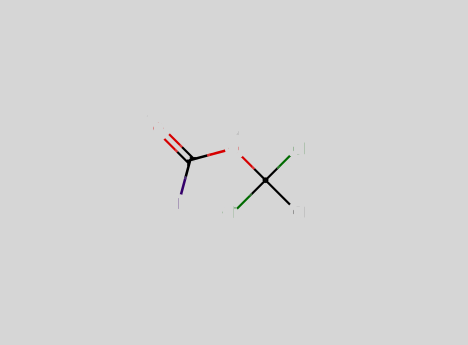 CC(Cl)(Cl)OC(=O)I